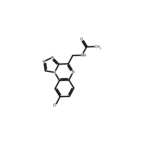 CC(=O)NCc1nc2ccc(Cl)cc2n2cnnc12